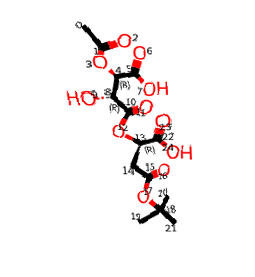 CC(=O)O[C@@H](C(=O)O)[C@@H](O)C(=O)O[C@H](CC(=O)OC(C)(C)C)C(=O)O